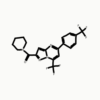 O=C(c1cc2nc(-c3ccc(C(F)(F)F)cc3)cc(C(F)(F)F)n2n1)N1CCCCC1